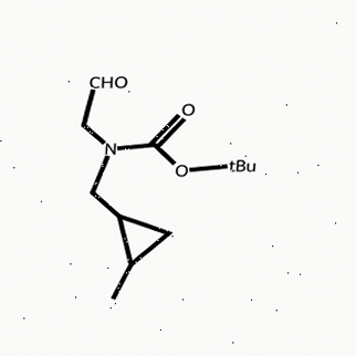 CC1CC1CN(CC=O)C(=O)OC(C)(C)C